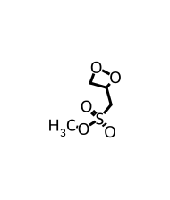 COS(=O)(=O)CC1COO1